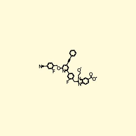 COCCn1c(Cc2ccc(-c3cc(C#Cc4ccccc4)cc(OCc4ccc(C#N)cc4F)n3)cc2F)nc2ccc(C(=O)OC)cc21